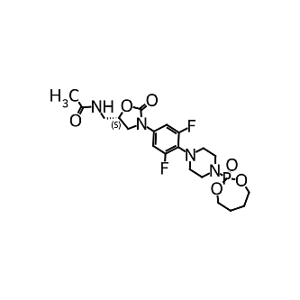 CC(=O)NC[C@H]1CN(c2cc(F)c(N3CCN(P4(=O)OCCCCO4)CC3)c(F)c2)C(=O)O1